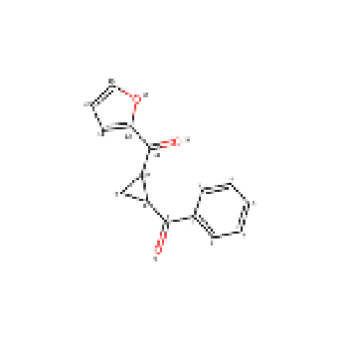 O=C(c1ccccc1)C1CC1C(=O)c1ccco1